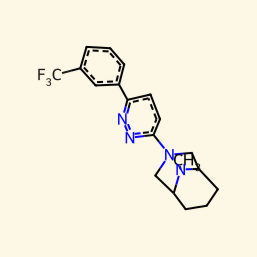 CN1C2CCCC1CN(c1ccc(-c3cccc(C(F)(F)F)c3)nn1)C2